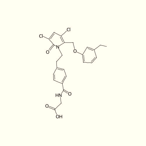 CCc1cccc(OCc2c(Cl)cc(Cl)c(=O)n2CCc2ccc(C(=O)NCC(=O)O)cc2)c1